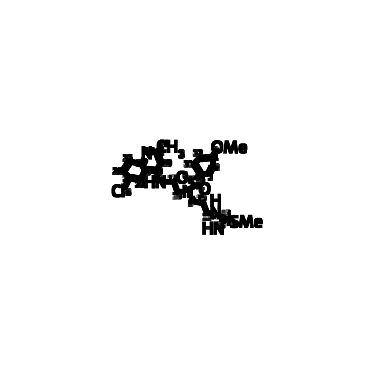 COc1ccc(S(=O)(=O)N(CCCNC(=N)SC)CCNc2cc(C)nc3ccc(Cl)cc23)cc1